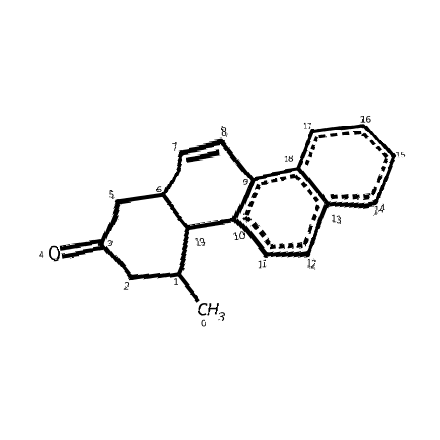 CC1CC(=O)CC2C=Cc3c(ccc4ccccc34)C12